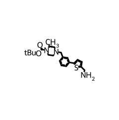 C[C@H]1CN(Cc2cccc(-c3ccc(CN)s3)c2)CCN1C(=O)OC(C)(C)C